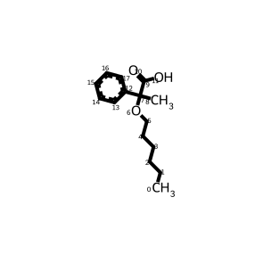 CCCCCCOC(C)(C(=O)O)c1ccccc1